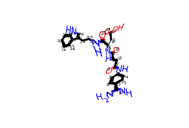 N=C(N)c1ccc(NC(=O)CCC(=O)N[C@@H](CC(=O)O)C(=O)NCCc2c[nH]c3ccccc23)cc1